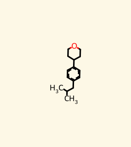 CC(C)Cc1ccc(C2CCOCC2)cc1